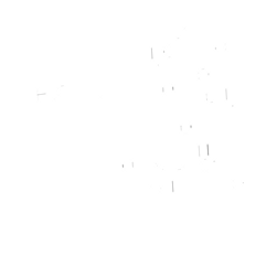 [CH2]C(OCCCCC)OCS(=O)(=O)O.[CH2]C[O].[CH2]C[O].[CH2]C[O]